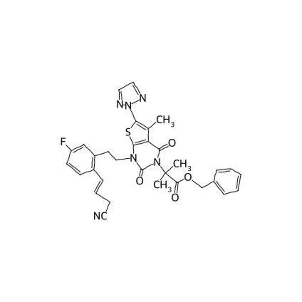 Cc1c(-n2nccn2)sc2c1c(=O)n(C(C)(C)C(=O)OCc1ccccc1)c(=O)n2CCc1cc(F)ccc1/C=C/CC#N